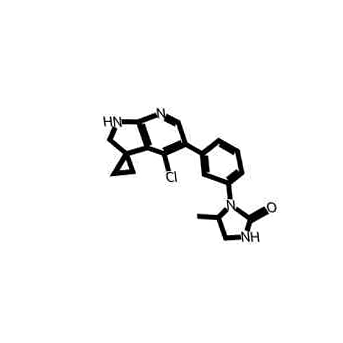 CC1CNC(=O)N1c1cccc(-c2cnc3c(c2Cl)C2(CC2)CN3)c1